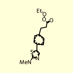 CCOOC(=O)CCc1ccc(-c2cnc(NC)s2)cc1